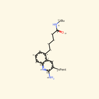 CCCCCc1cc2c(CCCCC(=O)NC(C)(C)C)cccc2nc1N